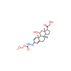 COCOC(=O)N/N=C1\C=C[C@@]2(C)C(=C1)CC[C@@H]1C2[C@@H](O)C[C@@]2(C)C1C[C@@H](C)[C@@H]2C(=O)CO